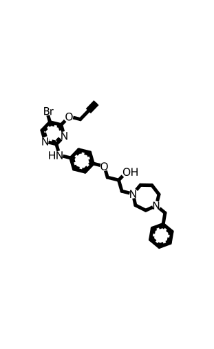 C#CCOc1nc(Nc2ccc(OCC(O)CN3CCCN(Cc4ccccc4)CC3)cc2)ncc1Br